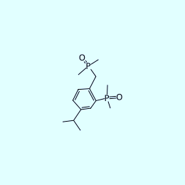 CC(C)c1ccc(CP(C)(C)=O)c(P(C)(C)=O)c1